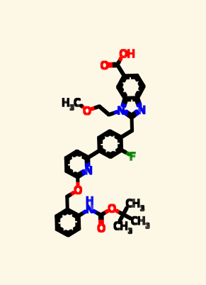 COCCn1c(Cc2ccc(-c3cccc(OCc4ccccc4NC(=O)OC(C)(C)C)n3)cc2F)nc2ccc(C(=O)O)cc21